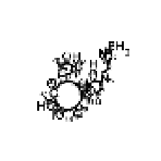 Bn1cc(CCN(C)[C@H]2C[C@@H](C)O[C@@H](O[C@@H]3[C@@H](C)[C@H](C4C[C@@](C)(OC)[C@@H](O)[C@H](C)O4)[C@@H](C)C(=O)O[C@H](CC)[C@@](C)(O)[C@H](O)[C@@H](C)C(=O)[C@H](C)C[C@@]3(C)OC)[C@@H]2O)nn1